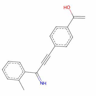 C=C(O)c1ccc(C#CC(=N)c2ccccc2C)cc1